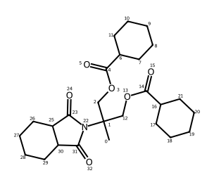 CC(COC(=O)C1CCCCC1)(COC(=O)C1CCCCC1)N1C(=O)C2CCCCC2C1=O